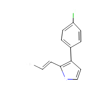 O=CC=Cc1[nH]ccc1-c1ccc(Cl)cc1